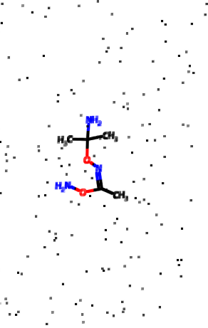 CC(=NOC(C)(C)N)ON